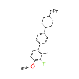 C#COc1ccc(-c2ccc([C@H]3CC[C@H](CCC)CC3)cc2)c(C)c1F